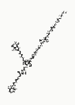 CC(=O)CCOCCOCCOCCOCCOCCC(=O)NCCCOCCOCCOCCCNC(=O)[C@H](CCCCNC(=O)CCCCCCCCC1=C(C)CCCC1(C)C)NC(=O)CCCCCCCCC1=C(C)CCCC1(C)C